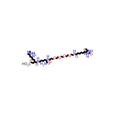 NC(=O)C(CCCCNC(=O)C(CCC(=O)O)CC(=O)C(N)Cc1cnc[nH]1)NC(=O)CCOCCOCCOCCOCCNC(=O)CCCCC1SCC2NC(=O)N[C@H]21